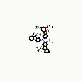 Cc1cc2c(cc1N(c1ccc3c(c1)C(C)(C)c1ccccc1-3)c1ccc3oc4c(C(C)(C)C)cc(C(C)(C)C)cc4c3c1)C(C)(C)c1ccccc1-2